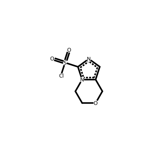 O=S(=O)(Cl)c1ncc2n1CCOC2